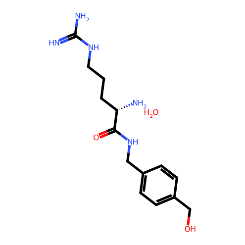 N=C(N)NCCC[C@H](N)C(=O)NCc1ccc(CO)cc1.O